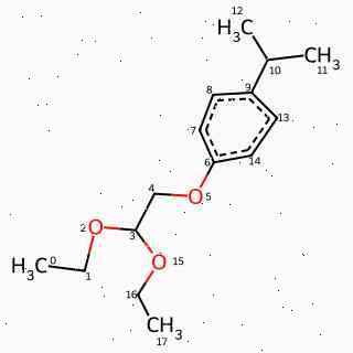 CCOC(COc1ccc(C(C)C)cc1)OCC